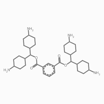 NC1CCC(C(OC(=O)c2cccc(C(=O)OC(C3CCC(N)CC3)C3CCC(N)CC3)c2)C2CCC(N)CC2)CC1